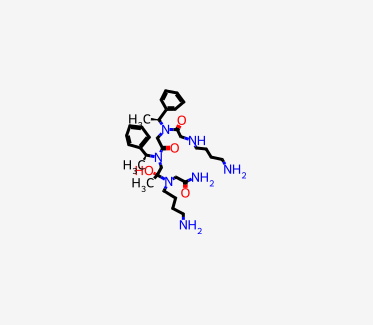 C[C@@H](c1ccccc1)N(CC(=O)N(CC(C)(O)N(CCCCN)CC(N)=O)[C@@H](C)c1ccccc1)C(=O)CNCCCCN